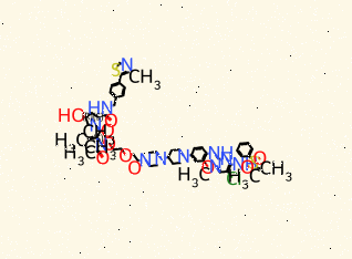 COc1cc(N2CCC(N3CCN(C(=O)COCCON(C(C)=O)[C@H](C(=O)N4C[C@H](O)C[C@H]4C(=O)NCc4ccc(-c5scnc5C)cc4)C(C)(C)C)CC3)CC2)ccc1Nc1ncc(Cl)c(Nc2ccccc2S(=O)(=O)C(C)C)n1